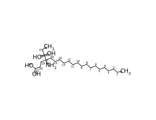 CCCCCCCCCCCCCCCCCC(N)(CCC(O)O)C(O)(O)CC